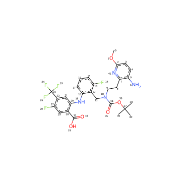 COc1ccc(N)c(CCN(Cc2c(F)cccc2Nc2cc(C(F)(F)F)c(F)cc2C(=O)O)C(=O)OC(C)(C)C)n1